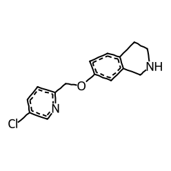 Clc1ccc(COc2ccc3c(c2)CNCC3)nc1